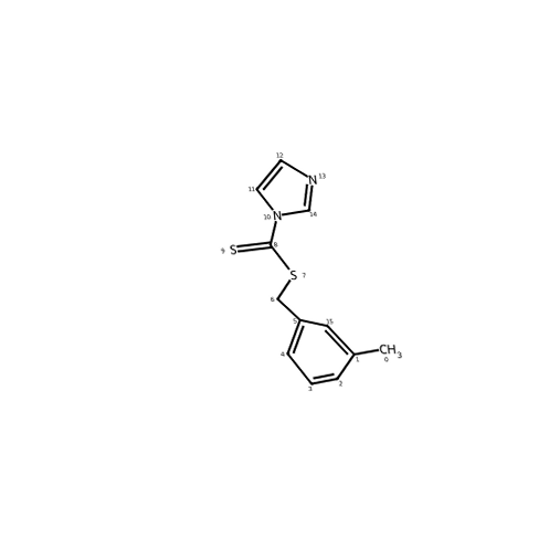 Cc1cccc(CSC(=S)n2ccnc2)c1